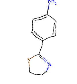 Nc1ccc(C2=NCCS2)cc1